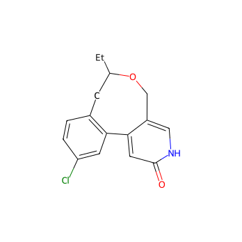 CCC1Cc2ccc(Cl)cc2-c2cc(=O)[nH]cc2CO1